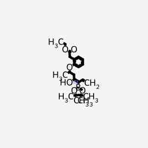 C=C/C(B1OC(C)(C)C(C)(C)O1)=C(/O)CC(C)Oc1ccccc1CC(=O)OCC